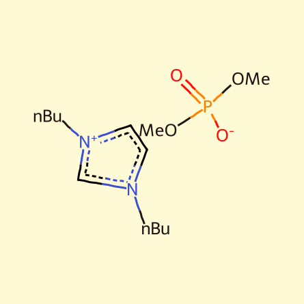 CCCCn1cc[n+](CCCC)c1.COP(=O)([O-])OC